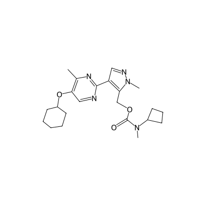 Cc1nc(-c2cnn(C)c2COC(=O)N(C)C2CCC2)ncc1OC1CCCCC1